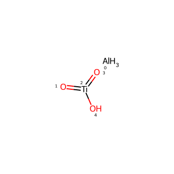 [AlH3].[O]=[Ti](=[O])[OH]